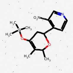 CC1=C(O[Si](C)(C)C)CC(c2ccncc2[N+](=O)[O-])OC1C